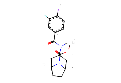 CN(C(=O)c1ccc(I)c(F)c1)C1C[C@H]2CC[C@@H](C1)N2C(=O)OC(C)(C)C